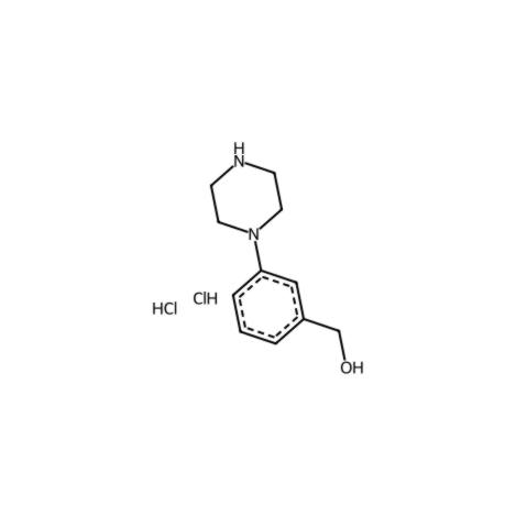 Cl.Cl.OCc1cccc(N2CCNCC2)c1